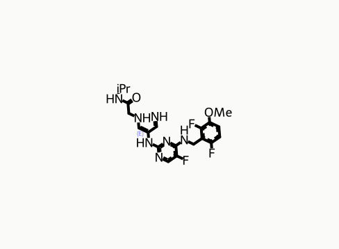 COc1ccc(F)c(CNc2nc(N/C(C=N)=C/NCC(=O)NC(C)C)ncc2F)c1F